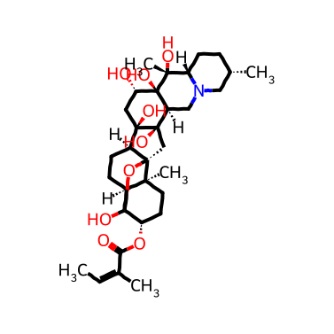 C/C=C(/C)C(=O)O[C@H]1CC[C@@]2(C)[C@@H]3CC[C@H]4[C@]5(O)C[C@H](O)[C@@]6(O)[C@@H](CN7C[C@@H](C)CC[C@H]7[C@@]6(C)O)[C@]5(O)C[C@]42OC13O